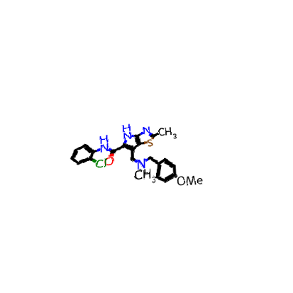 COc1ccc(CN(C)Cc2c(C(=O)Nc3ccccc3Cl)[nH]c3nc(C)sc23)cc1